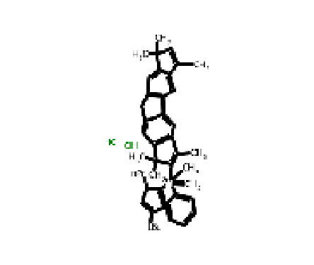 Cl.Cl.[CH2]=[Zr]([CH3])([C]1=CC(C(C)(C)C)=CC1CCC)([C]1=C(C)c2cc3c(cc2C1(C)C)Cc1cc2c(cc1-3)C(C)=CC2(C)C)[c]1ccccc1